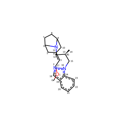 COCC=C1CC2CCC(C1)N2C[C@@H](C)Cn1ncc2ccccc21